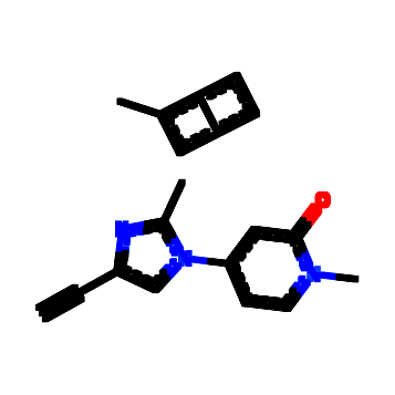 C#Cc1cn(-c2ccn(C)c(=O)c2)c(C)n1.Cc1cc2ccc1-2